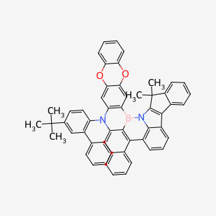 CC(C)(C)c1ccc(N2c3cc4c(cc3B3c5c2cc2ccccc2c5-c2cccc5c6c(n3c25)C(C)(C)c2ccccc2-6)Oc2ccccc2O4)c(-c2ccccc2)c1